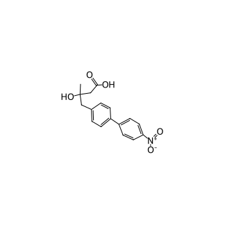 CC(O)(CC(=O)O)Cc1ccc(-c2ccc([N+](=O)[O-])cc2)cc1